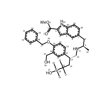 COC(=O)c1cc2cc(C[C@@H](C)NC[C@H](CC(C)(C)[Si](C)(C)O)c3ccc(OCc4ccccc4)c(CO)c3)ccc2[nH]1